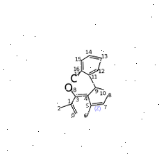 C=C(C)C1=C(/C(C)=C\C)C(C)c2ccccc2CO1